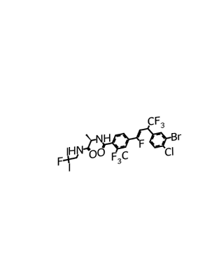 C[C@@H](NC(=O)c1ccc(/C(F)=C/C(c2ccc(Cl)c(Br)c2)C(F)(F)F)cc1C(F)(F)F)C(=O)NCC(F)(I)I